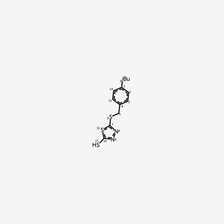 CCC(C)c1ccc(CSc2nnc(S)s2)cc1